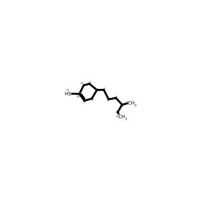 CCC(C)CCCC1CC=C(S)CC1